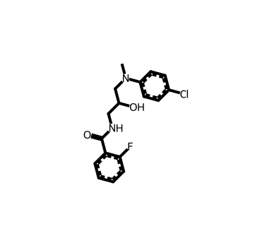 CN(CC(O)CNC(=O)c1ccccc1F)c1ccc(Cl)cc1